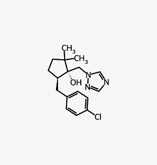 CC1(C)CC[C@H](Cc2ccc(Cl)cc2)[C@]1(O)Cn1cncn1